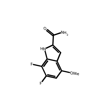 COc1cc(F)c(F)c2[nH]c(C(N)=O)cc12